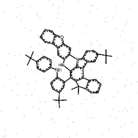 CC(C)(C)c1ccc(Nc2ccc(C(C)(C)C)cc2-c2c3c(c4c5cc(C(C)(C)C)ccc5n5c4c2Bc2cc4c(cc2-5)oc2ccccc24)-c2ccccc2C3(C)C)cc1